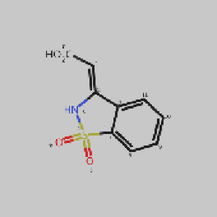 O=C(O)C=C1NS(=O)(=O)c2ccccc21